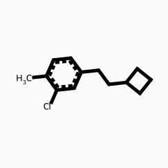 Cc1ccc(CCC2CCC2)cc1Cl